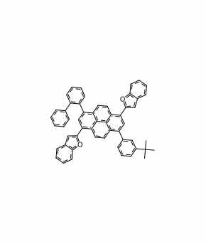 CC(C)(C)c1cccc(-c2cc(-c3cc4ccccc4o3)c3ccc4c(-c5ccccc5-c5ccccc5)cc(-c5cc6ccccc6o5)c5ccc2c3c54)c1